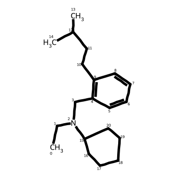 CCN(Cc1ccc[c]c1CCC(C)C)C1CCCCC1